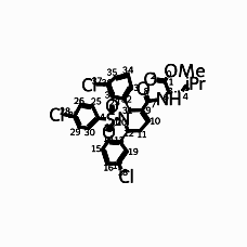 COC(=O)[C@H](CC(C)C)NC(=O)C1=CC[C@@H](c2cccc(Cl)c2)N(S(=O)(=O)c2ccc(Cl)cc2)[C@H]1c1cccc(Cl)c1